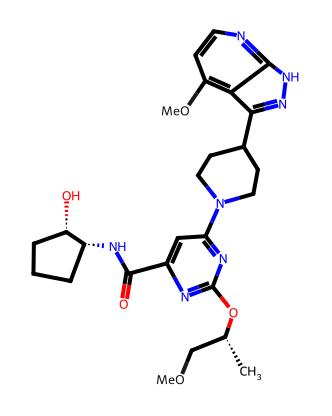 COC[C@@H](C)Oc1nc(C(=O)N[C@@H]2CCC[C@@H]2O)cc(N2CCC(c3n[nH]c4nccc(OC)c34)CC2)n1